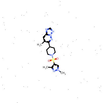 Cc1cc2ncnn2nc1C1CCN(S(=O)(=O)c2cn(C)nc2C)CC1